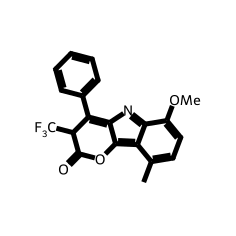 COc1ccc(C)c2c1=NC1=C(c3ccccc3)C(C(F)(F)F)C(=O)OC=21